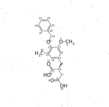 COc1cc(C[C@@H](CC(=O)O)C(=O)O)cc(C)c1OCc1ccccc1